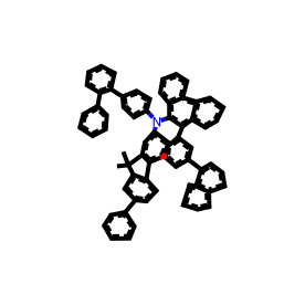 CC1(C)c2cc(-c3ccccc3)ccc2-c2ccc(N(c3ccc(-c4ccccc4-c4ccccc4)cc3)c3c(-c4cccc(-c5cccc6ccccc56)c4)c4ccccc4c4ccccc34)cc21